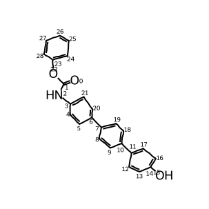 O=C(Nc1ccc(-c2ccc(-c3ccc(O)cc3)cc2)cc1)Oc1ccccc1